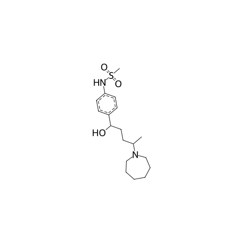 CC(CCC(O)c1ccc(NS(C)(=O)=O)cc1)N1CCCCCC1